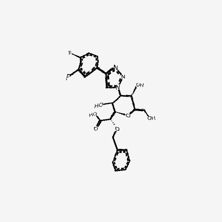 O=C(O)[C@@H](OCc1ccccc1)[C@@H]1OC(CO)[C@H](O)C(n2cc(-c3ccc(F)c(F)c3)nn2)C1O